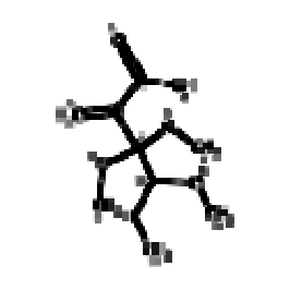 C=C(C(=O)O)C(OC)(OC)C(CC)OC